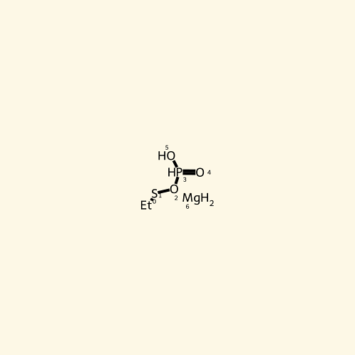 CCSO[PH](=O)O.[MgH2]